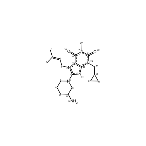 CC(C)=CCn1c(N2CCCC(N)C2)nc2c1c(=O)n(C)c(=O)n2CC1CC1